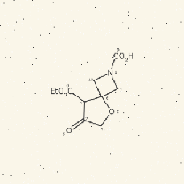 CCOC(=O)C1C(=O)COC12CN(C(=O)O)C2